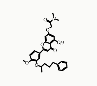 COc1ccc(-c2cc(=O)c3c(O)cc(OCC(=O)N(C)C)cc3o2)cc1OC(C)CCCc1ccccc1